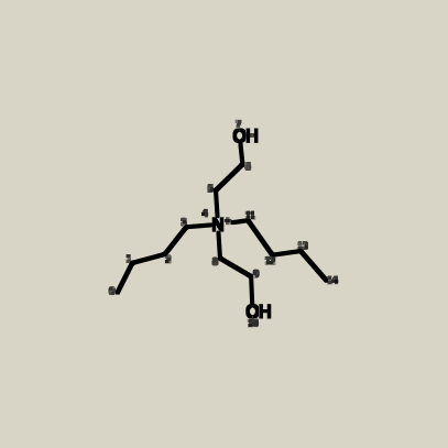 CCCC[N+](CCO)(CCO)CCCC